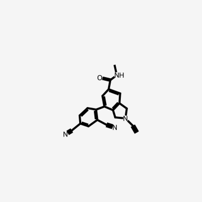 C#CN1Cc2cc(C(=O)NC)cc(-c3ccc(C#N)cc3C#N)c2C1